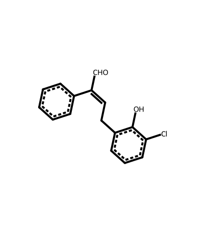 O=CC(=CCc1cccc(Cl)c1O)c1ccccc1